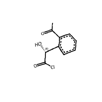 CC(=O)c1ccccc1[C@@H](O)C(=O)Cl